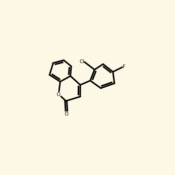 O=c1cc(-c2ccc(F)cc2Cl)c2cc[c]cc2o1